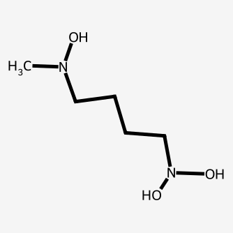 CN(O)CCCCN(O)O